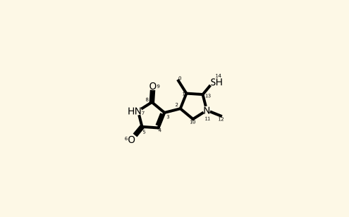 CC1C(C2=CC(=O)NC2=O)CN(C)C1S